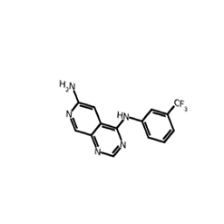 Nc1cc2c(Nc3cccc(C(F)(F)F)c3)ncnc2cn1